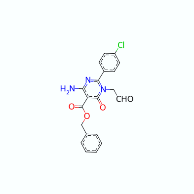 Nc1nc(-c2ccc(Cl)cc2)n(CC=O)c(=O)c1C(=O)OCc1ccccc1